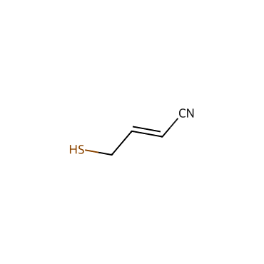 N#CC=CCS